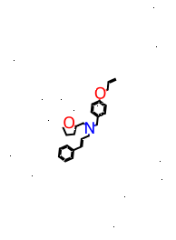 C=CCOc1ccc(CN(C/C=C/c2ccccc2)CC2CCCO2)cc1